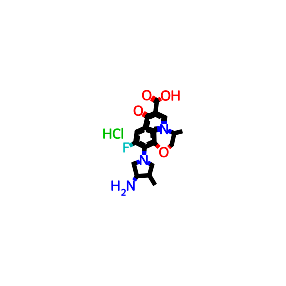 CC1CN(c2c(F)cc3c(=O)c(C(=O)O)cn4c3c2OCC4C)CC1N.Cl